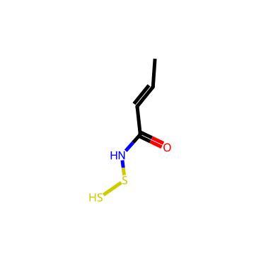 C/C=C/C(=O)NSS